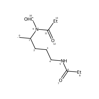 [CH2]C(CCCNC(=O)CC)N(C=O)C(=O)CC